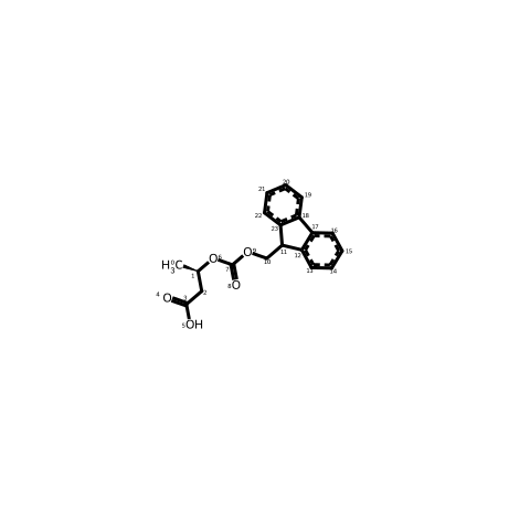 C[C@H](CC(=O)O)OC(=O)OCC1c2ccccc2-c2ccccc21